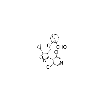 O=CC12CCC(CC1)CC2OCc1c(-c2c(Cl)cncc2Cl)noc1C1CC1